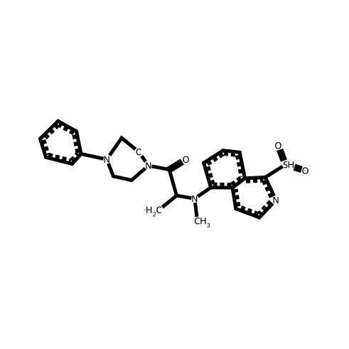 [CH2]C(C(=O)N1CCN(c2ccccc2)CC1)N(C)c1cccc2c([SH](=O)=O)nccc12